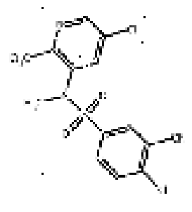 CN(c1cc(Cl)cnc1C(=O)O)S(=O)(=O)c1ccc(Cl)c(C(F)(F)F)c1